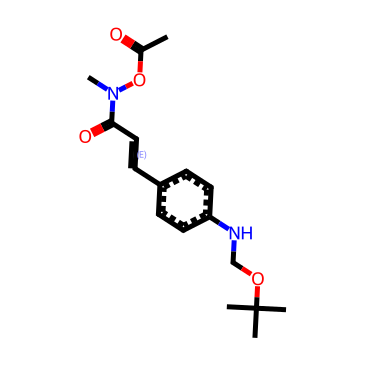 CC(=O)ON(C)C(=O)/C=C/c1ccc(NCOC(C)(C)C)cc1